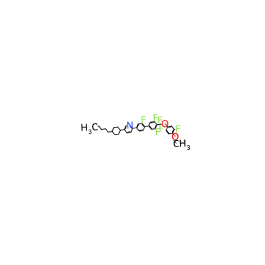 CCCCCC1CCC(c2ccc(-c3ccc(-c4cc(F)c(C(F)(F)Oc5ccc(OCC)c(F)c5)c(F)c4)c(F)c3)nc2)CC1